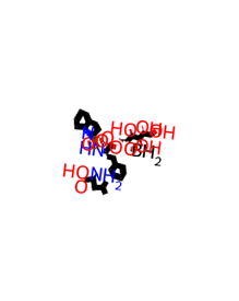 BO[C@H](COC(=O)[C@H](CCc1ccccc1)NS(=O)(=O)c1ccc2ccccc2n1)[C@@H](O)[C@H](O)[C@H](O)CO.CC(C)C[C@H](N)C(=O)O